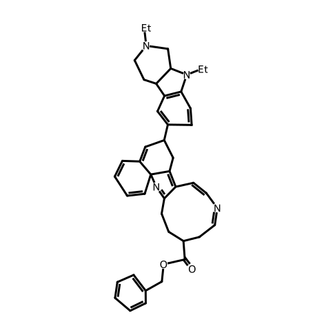 CCN1CCC2c3cc(C4C=C5C=CC=CC56N=C5CCC(C(=O)OCc7ccccc7)C/C=N\C=C/C5=C6C4)ccc3N(CC)C2C1